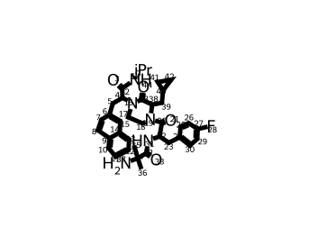 CC(C)NC(=O)C(Cc1ccc2ccccc2c1)N1CCN(C(=O)C(Cc2ccc(F)cc2)NC(=O)C(C)(C)N)C(CC2CC2)C1=O